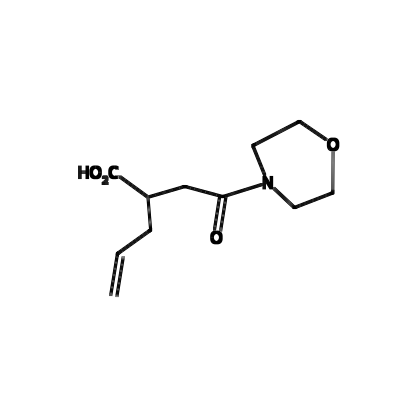 C=CCC(CC(=O)N1CCOCC1)C(=O)O